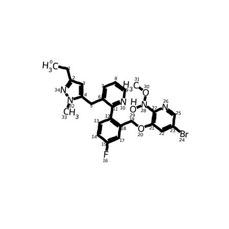 CCc1cc(Cc2cccnc2-c2ccc(F)cc2COc2cc(Br)cnc2N(O)OC)n(C)n1